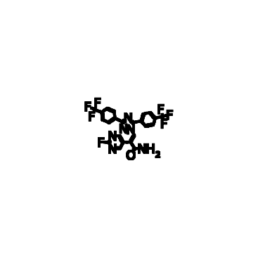 NC(=O)/C(=C/n1nc(-c2ccc(C(F)(F)F)cc2)nc1-c1ccc(C(F)(F)F)cc1)c1cnc(F)nc1